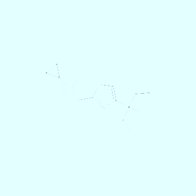 CCC(O)(CC)c1csc(NS(=O)(=O)C2CC2)n1